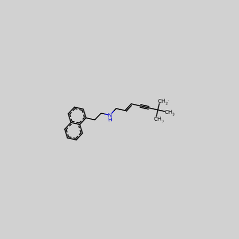 [CH2]C(C)(C)C#CC=CCNCCc1cccc2ccccc12